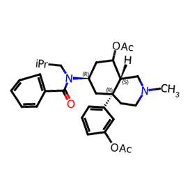 CC(=O)Oc1cccc([C@@]23CCN(C)C[C@H]2C(OC(C)=O)C[C@H](N(CC(C)C)C(=O)c2ccccc2)C3)c1